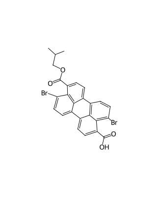 CC(C)COC(=O)c1ccc2c3ccc(Br)c4c(C(=O)O)ccc(c5ccc(Br)c1c52)c43